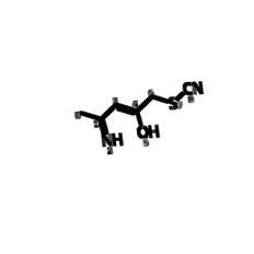 CC(=N)/C=C(\O)CSC#N